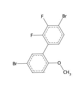 COc1[c]cc(Br)cc1-c1ccc(Br)c(F)c1F